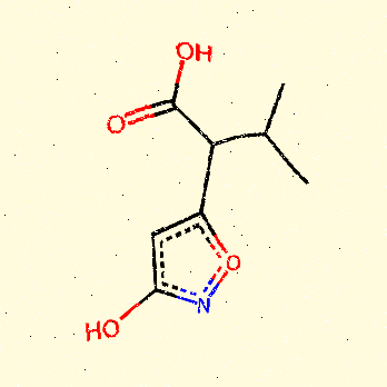 CC(C)C(C(=O)O)c1cc(O)no1